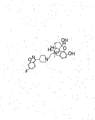 C[N+]1(CCN2CCC(c3noc4cc(F)ccc34)CC2)CC[C@]23c4c5ccc(O)c4O[C@H]2[C@@H](O)C=C[C@H]3[C@H]1C5